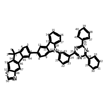 CC1(C)c2ccc(-c3ccc4c(c3)c3ccccc3n4-c3cccc(-c4nc(-c5ccccc5)nc(-c5ccccc5)n4)c3)cc2-c2cc3ncsc3cc21